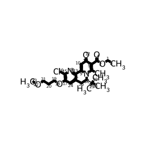 CCOC(=O)c1c(C)n2c(cc1=O)-c1nc(Cl)c(OCCCOC)cc1C[C@H]2C(C)(C)C